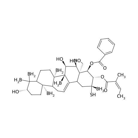 BC1(B)C2CC[C@]3(B)C(CC=C4C5C[C@@](B)(S)[C@@H](OC(=O)/C(C)=C\C)[C@H](OC(=O)c6ccccc6)[C@]5(CO)[C@H](O)[C@H](O)[C@]43B)[C@@]2(B)CC[C@@H]1O